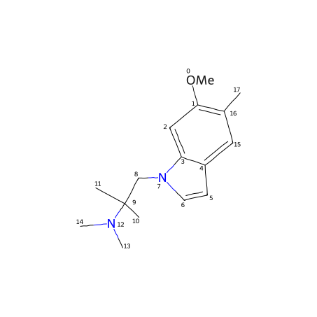 COc1cc2c(ccn2CC(C)(C)N(C)C)cc1C